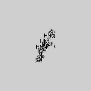 O=C(NCCCNc1nc(Nc2ccc(N3CCN4CCCC4C3)cc2Cl)ncc1C(F)(F)F)C1CCC1